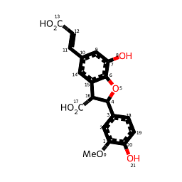 COc1cc(C2Oc3c(O)cc(C=CC(=O)O)cc3C2C(=O)O)ccc1O